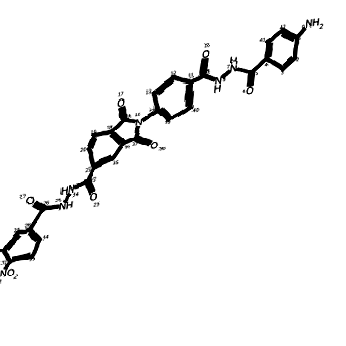 Nc1ccc(C(=O)NNC(=O)c2ccc(N3C(=O)c4ccc(C(=O)NNC(=O)c5ccc([N+](=O)[O-])cc5)cc4C3=O)cc2)cc1